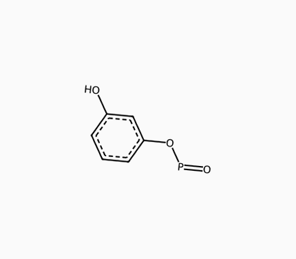 O=POc1cccc(O)c1